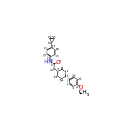 COc1ccc([C@H]2CC[C@H](CC(=O)Nc3ccc(C4CC4)cc3)CC2)cc1